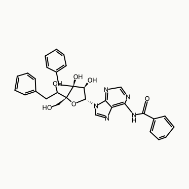 O=C(Nc1ncnc2c1ncn2[C@@H]1O[C@](CO)(C(O)Cc2ccccc2)[C@](O)(Cc2ccccc2)[C@H]1O)c1ccccc1